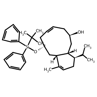 CC1=CC[C@H](C(C)C)[C@H]2C[C@H](O)C/C=C\C[C@@H](O[Si](c3ccccc3)(c3ccccc3)C(C)(C)C)C[C@@H]12